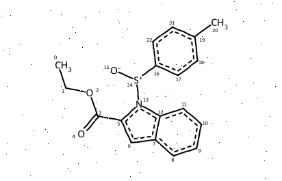 CCOC(=O)c1cc2ccccc2n1[S+]([O-])c1ccc(C)cc1